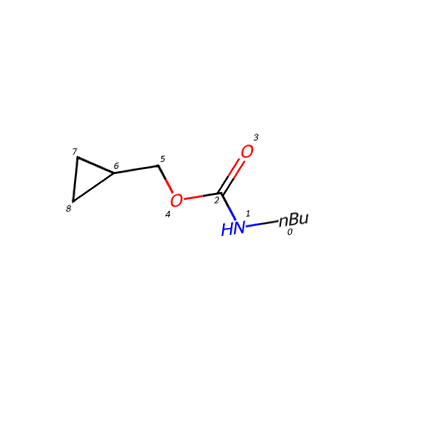 CCCCNC(=O)OCC1CC1